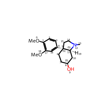 COc1ccc([C@@]23CC[C@H](O)C[C@@H]2N(C)CC3)cc1OC